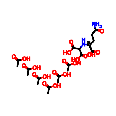 CC(=O)O.CC(=O)O.CC(=O)O.CC(=O)O.CC(=O)O.CC(=O)O.NC(=O)CC[C@H](NC(C(=O)O)C(=O)O)C(=O)O